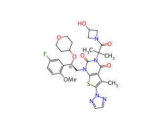 COc1ccc(F)cc1[C@H](Cn1c(=O)n(C(C)(C)C(=O)N2CC(O)C2)c(=O)c2c(C)c(-n3nccn3)sc21)OC1CCOCC1